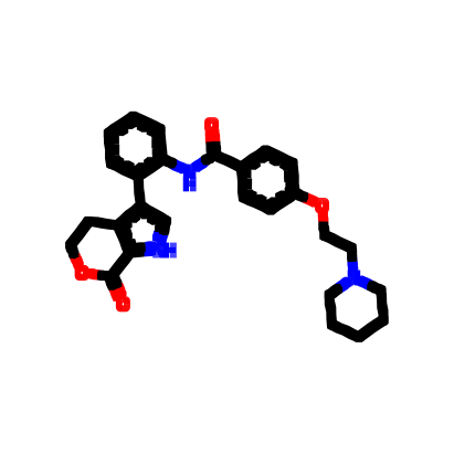 O=C(Nc1ccccc1-c1c[nH]c2c1CCOC2=O)c1ccc(OCCN2CCCCC2)cc1